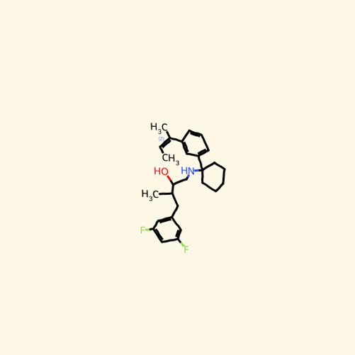 C/C=C(/C)c1cccc(C2(NCC(O)C(C)Cc3cc(F)cc(F)c3)CCCCC2)c1